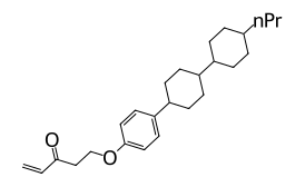 C=CC(=O)CCOc1ccc(C2CCC(C3CCC(CCC)CC3)CC2)cc1